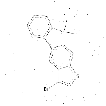 CC1(C)c2ccccc2-c2cc3c(Br)csc3cc21